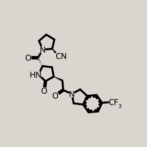 N#C[C@@H]1CCCN1C(=O)[C@@H]1C[C@@H](CC(=O)N2Cc3ccc(C(F)(F)F)cc3C2)C(=O)N1